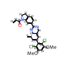 C=C/C=C(\C=C1\C=NC(c2ccc3c(c2)N(C(=O)C=C)CC3)=NC1)c1c(Cl)c(OC)cc(OC)c1Cl